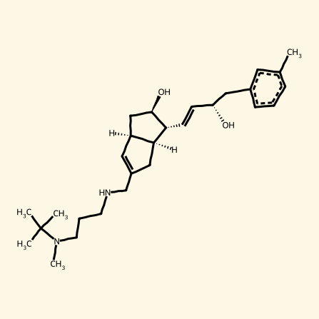 Cc1cccc(C[C@H](O)/C=C/[C@@H]2[C@H]3CC(CNCCCN(C)C(C)(C)C)=C[C@H]3C[C@H]2O)c1